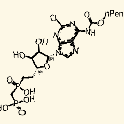 CCCCCOC(=O)Nc1nc(Cl)nc2c1ncn2[C@@H]1O[C@H](CCP(=O)(O)CP(=O)(O)O)C(O)C1O